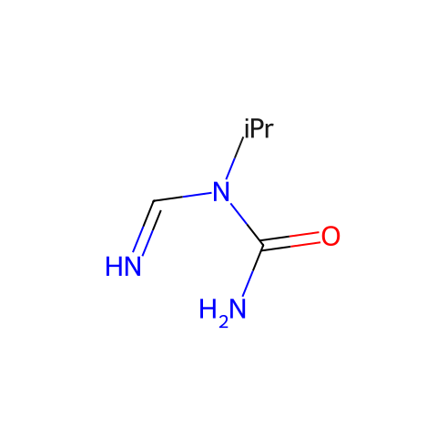 CC(C)N(C=N)C(N)=O